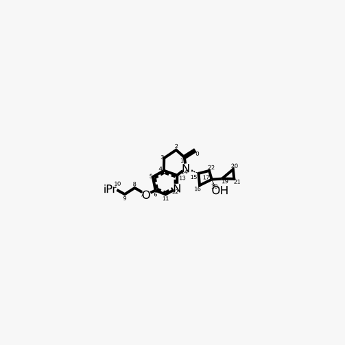 C=C1CCc2cc(OCCC(C)C)cnc2N1[C@H]1C[C@](O)(C2CC2)C1